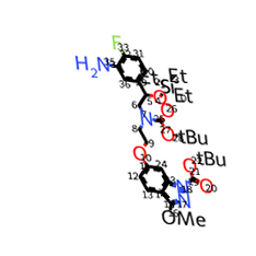 CC[Si](CC)(CC)OC(CN(CCOc1ccc2c(OC)nn(C(=O)OC(C)(C)C)c2c1)C(=O)OC(C)(C)C)c1ccc(F)c(N)c1